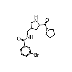 O=C(NCC1CNC(C(=O)N2CCCC2)C1)c1cccc(Br)c1